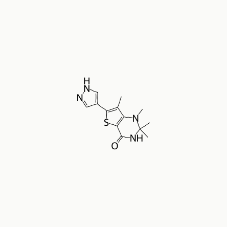 Cc1c(-c2cn[nH]c2)sc2c1N(C)C(C)(C)NC2=O